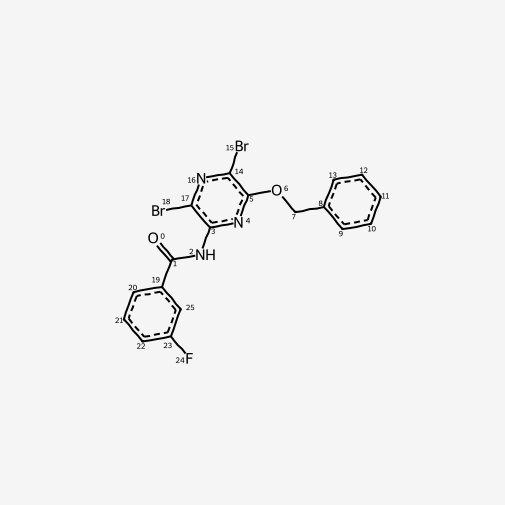 O=C(Nc1nc(OCc2ccccc2)c(Br)nc1Br)c1cccc(F)c1